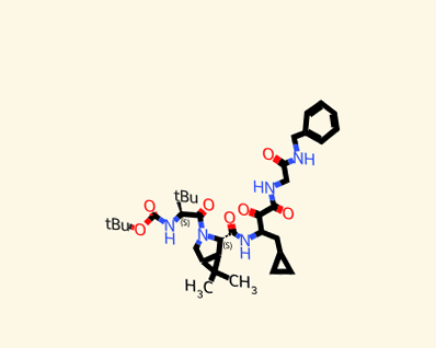 CC(C)(C)OC(=O)N[C@H](C(=O)N1CC2C([C@H]1C(=O)NC(CC1CC1)C(=O)C(=O)NCC(=O)NCc1ccccc1)C2(C)C)C(C)(C)C